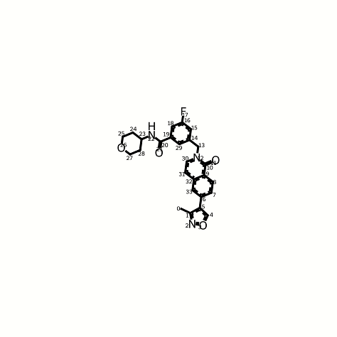 Cc1nocc1-c1ccc2c(=O)n(Cc3cc(F)cc(C(=O)NC4CCOCC4)c3)ccc2c1